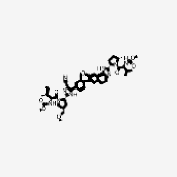 CC[C@H](C)[C@H](NC(=O)OC)C(=O)N1C[C@@H](COC)C[C@H]1c1nc(C#N)c(-c2ccc3c(c2)COc2cc4c(ccc5nc([C@@H]6CC[C@H](C)N6C(=O)C(NC(=O)OC)C(C)C)[nH]c54)cc2-3)[nH]1